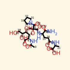 CC(=O)N[C@@H](C=O)[C@@H](OC(C)(C(=O)NC(CCC(=O)NC(C)C(=O)O)C(N)=O)C(=O)N1CCCC1)[C@H](O)[C@H](O)CO